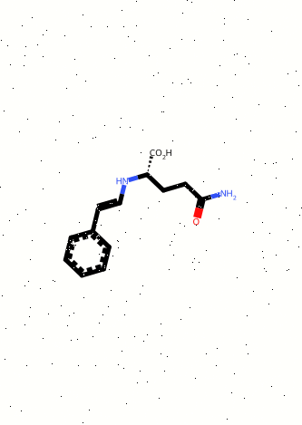 NC(=O)CC[C@H](NC=Cc1ccccc1)C(=O)O